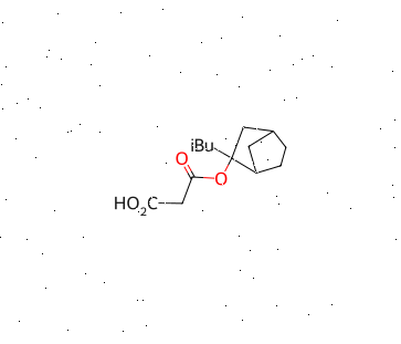 CCC(C)C1(OC(=O)CC(=O)O)CC2CCC1C2